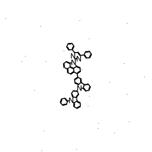 c1ccc(-c2cc(-c3ccccc3)nc(-n3c4cccc5ccc6c(-c7ccc8c(c7)c7ccccc7n8-c7ccc8c(c7)c7ccccc7n8-c7ccccc7)ccc3c6c54)n2)cc1